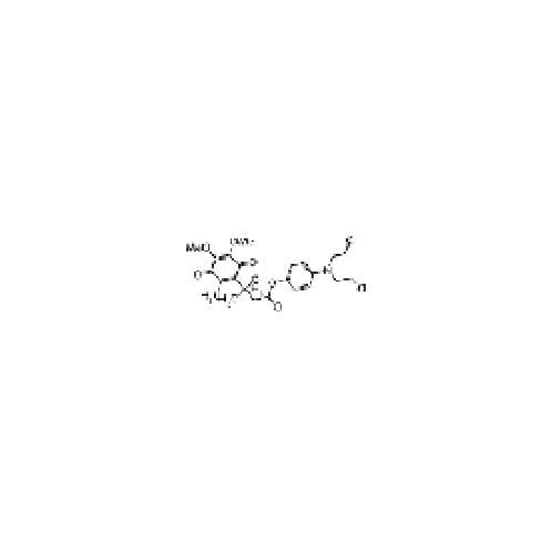 COC1=C(OC)C(=O)C(C(C)(C)CC(=O)Oc2ccc(N(CCCl)CCCl)cc2)=C(C)C1=O